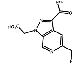 NC(=O)c1nn(CC(=O)O)c2cnc(CF)cc12